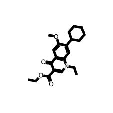 CCOC(=O)c1cn(CC)c2cc(C3CCCCC3)c(OC)cc2c1=O